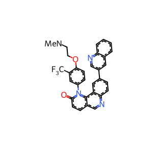 CNCCOc1ccc(-n2c(=O)ccc3cnc4ccc(-c5cnc6ccccc6c5)cc4c32)cc1C(F)(F)F